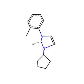 Cc1ccccc1N1C=CN(C2CCCC2)[C@@H]1C